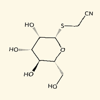 N#CCS[C@@H]1O[C@H](CO)[C@@H](O)[C@H](O)[C@@H]1O